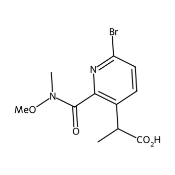 CON(C)C(=O)c1nc(Br)ccc1C(C)C(=O)O